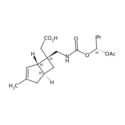 CC(=O)O[C@H](OC(=O)NC[C@@]1(CC(=O)O)C[C@H]2CC(C)=C[C@@H]21)C(C)C